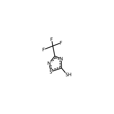 FC(F)(F)c1nsc(S)n1